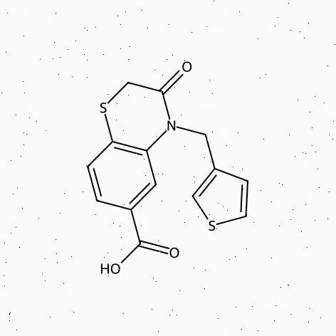 O=C(O)c1ccc2c(c1)N(Cc1ccsc1)C(=O)CS2